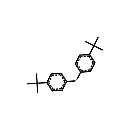 CC(C)(C)c1ccc(Sc2ccc(C(C)(C)C)cc2)cc1